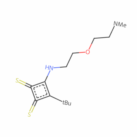 CNCCOCCNc1c(C(C)(C)C)c(=S)c1=S